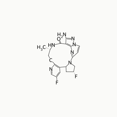 C[C@H]1CCc2ncc(F)cc2C2C[C@@H](F)CN2c2ccn3nc(N)c(c3n2)C(=O)N1